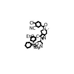 CCOC(=O)c1c2c(nn1C(CN)CO[Si](c1ccccc1)(c1ccccc1)C(C)(C)C)C[C@@H](C)N(C(=O)c1ccc(Cl)c(C#N)c1)C2